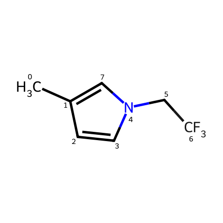 Cc1ccn(CC(F)(F)F)c1